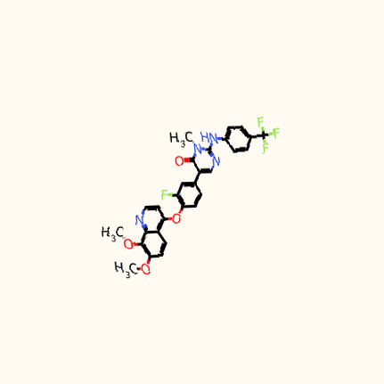 COc1ccc2c(Oc3ccc(-c4cnc(Nc5ccc(C(F)(F)F)cc5)n(C)c4=O)cc3F)ccnc2c1OC